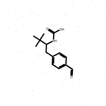 CC(C)(C)C(Cc1ccc(C=O)cc1)NC(=O)O